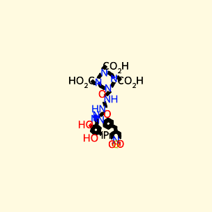 CC(C)c1cc(-c2nnc(C(=O)NCCNC(=O)CN3CCN(CC(=O)O)CCN(CC(=O)O)CCN(CC(=O)O)CC3)n2-c2ccc(CC3CCN(S(C)(=O)=O)CC3)cc2)c(O)cc1O